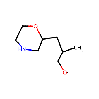 CC(C[O])CC1CNCCO1